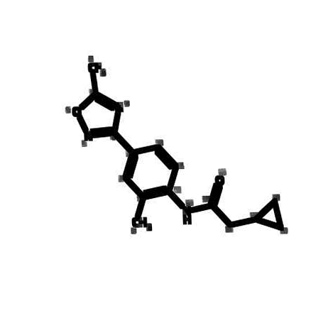 Cc1cc(-c2noc(C(F)(F)F)n2)ccc1NC(=O)CC1CC1